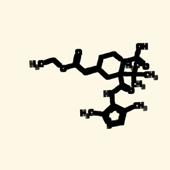 CCOC(=O)C=C1CCN(C(=O)O)C(C(=O)Nc2c(C)csc2C)(C(C)(C)C)C1